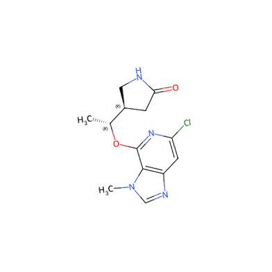 C[C@@H](Oc1nc(Cl)cc2ncn(C)c12)[C@H]1CNC(=O)C1